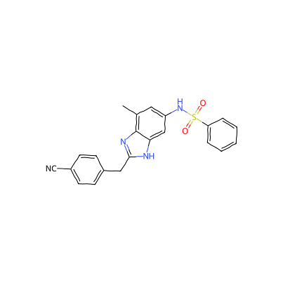 Cc1cc(NS(=O)(=O)c2ccccc2)cc2[nH]c(Cc3ccc(C#N)cc3)nc12